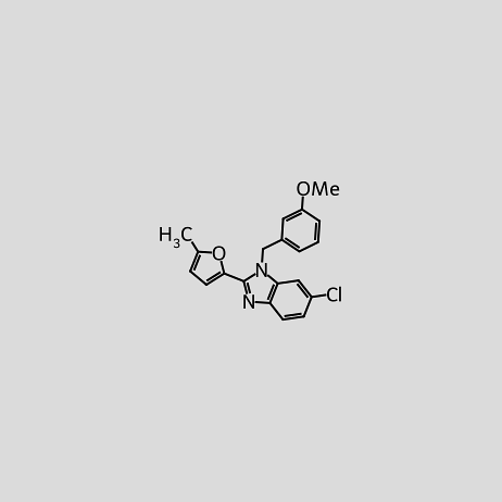 COc1cccc(Cn2c(-c3ccc(C)o3)nc3ccc(Cl)cc32)c1